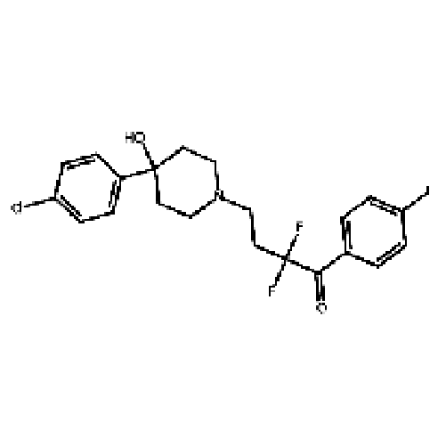 O=C(c1ccc(F)cc1)C(F)(F)CCN1CCC(O)(c2ccc(Cl)cc2)CC1